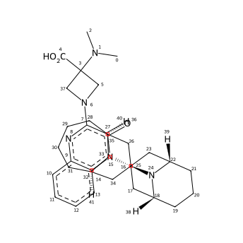 CN(C)C1(C(=O)O)CN(c2nc3ccccc3n([C@H]3C[C@H]4CCC[C@@H](C3)N4[C@@H]3C[C@@H]4CCCC[C@@H](C4)C3)c2=O)C1